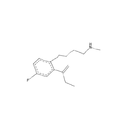 C=C(CC)c1cc(F)ccc1CCCCNC